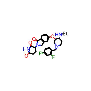 CCN[C@@H]1CCN(Cc2ccc(F)cc2F)C[C@H]1Oc1ccc2c(c1)CN(C1CCC(=O)NC1=O)C2=O